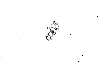 Cl.O=C(NCc1ccccc1)[C@H]1CC(F)(F)CN1